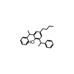 CCCCc1cc(C(C)c2ccccc2)c(O)c(C(C)c2ccccc2)c1